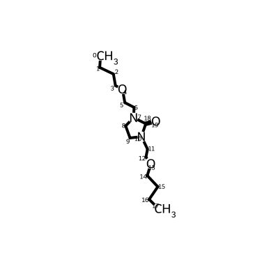 CCCCOCCN1CCN(CCOCCCC)C1=O